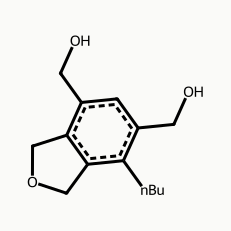 CCCCc1c(CO)cc(CO)c2c1COC2